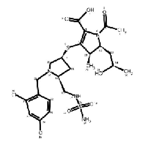 CC(=O)N1C(C(=O)O)=C(S[C@H]2C[C@@H](CNS(N)(=O)=O)N(Cc3ccc(Cl)cc3Cl)C2)[C@H](C)[C@@H]1C[C@@H](C)O